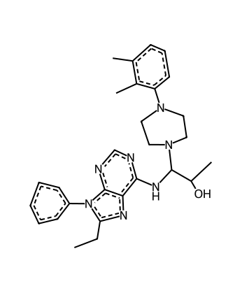 CCc1nc2c(NC(C(C)O)N3CCN(c4cccc(C)c4C)CC3)ncnc2n1-c1ccccc1